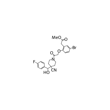 COC(=O)Cc1cc(Br)ccc1OCC(=O)N1CCC(C#N)(C(O)c2ccc(F)cc2)CC1